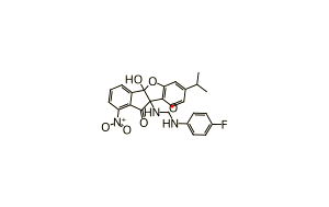 CC(C)c1ccc2c(c1)OC1(O)c3cccc([N+](=O)[O-])c3C(=O)C21NC(=O)Nc1ccc(F)cc1